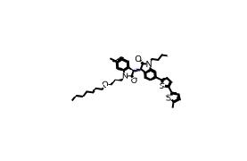 CCCCCCCOCCCN1C(=O)/C(=C2/C(=O)N(CCCC)c3cc(-c4ccc(-c5ccc(C)s5)s4)ccc32)c2ccc(C)cc21